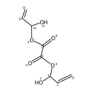 C=CC(O)OC(=O)C(=O)OC(O)C=C